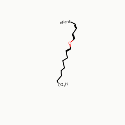 CCCCC/C=C\C=C\O/C=C/CCCCCCC(=O)O